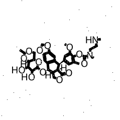 CNCCN(C)C(=O)Oc1c(C)cc([C@@H]2c3cc4c(cc3[C@@H](OC3OC5COC(C)O[C@@H]5C(O)C3O)[C@H]3COC(=O)[C@H]23)OCO4)cc1OC